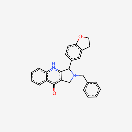 O=c1c2c([nH]c3ccccc13)C(c1ccc3c(c1)CCO3)N(Cc1ccccc1)C2